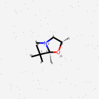 C[C@H]1CN(C)[C@](C)(C(C)(C)C)O1